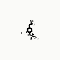 Cc1cc([CH]C(N)=O)ccc1NS(C)(=O)=O